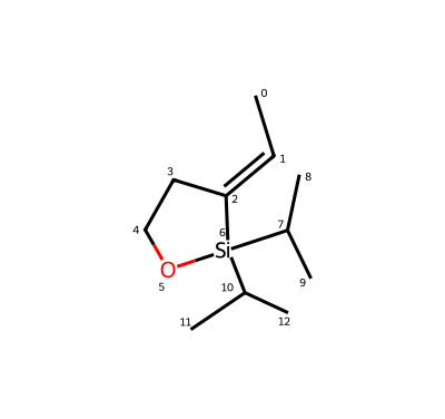 CC=C1CCO[Si]1(C(C)C)C(C)C